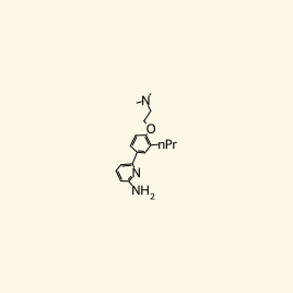 CCCc1cc(-c2cccc(N)n2)ccc1OCCN(C)C